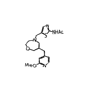 COc1cc(CC2COCCN(Cc3cnc(NC(C)=O)s3)C2)ccn1